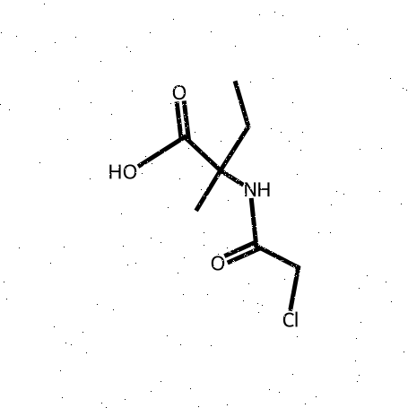 CCC(C)(NC(=O)CCl)C(=O)O